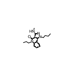 CCCCn1nc(NC)c2c(=O)n(CCC)c3ccccc3c21